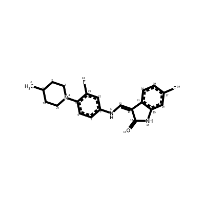 CC1CCN(c2ccc(NC=C3C(=O)Nc4cc(F)ccc43)cc2F)CC1